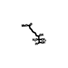 COC(=O)CCCCCC(O)C(C)(C)C(O)C(C)C